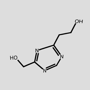 OCCc1ncnc(CO)n1